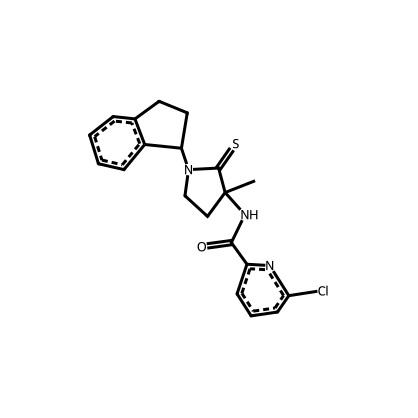 CC1(NC(=O)c2cccc(Cl)n2)CCN(C2CCc3ccccc32)C1=S